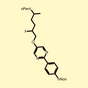 CCCCCCCCCc1ccc(-c2ncc(OCC(F)CCC(C)CCCCC)cn2)cc1